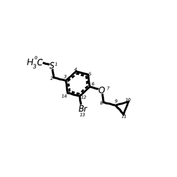 CSCc1ccc(OCC2CC2)c(Br)c1